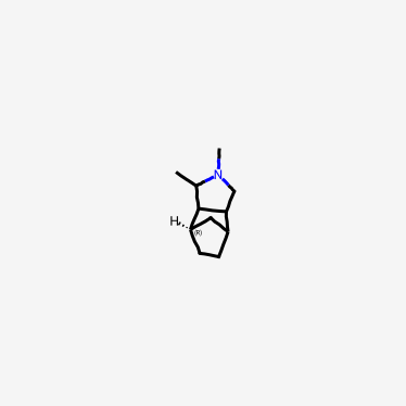 CC1C2C(CN1C)C1CC[C@@H]2C1